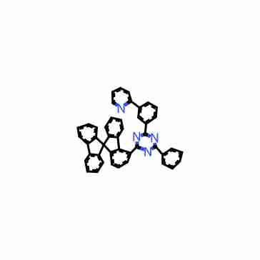 c1ccc(-c2nc(-c3cccc(-c4ccccn4)c3)nc(-c3cccc4c3-c3ccccc3C43c4ccccc4-c4ccccc43)n2)cc1